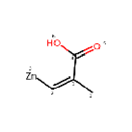 CC(=[CH][Zn])C(=O)O